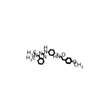 COc1ccc(CC(=O)NC[C@H]2CC[C@@H](Nc3nc4c(c(N(C)C)n3)CCCC4)CC2)cc1